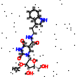 CO[C@@H]1[C@@H](O)[C@@H](CO)O[C@H]1n1cc(C(=O)NCCc2c[nH]c3ccccc23)c(=O)[nH]c1=O